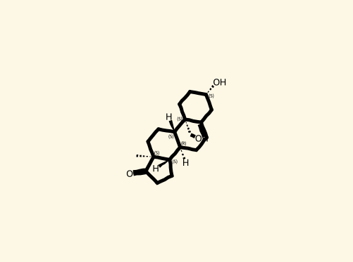 C[C@]12CC[C@H]3[C@@H](CC=C4C[C@@H](O)CC[C@@]43CO)[C@@H]1CCC2=O